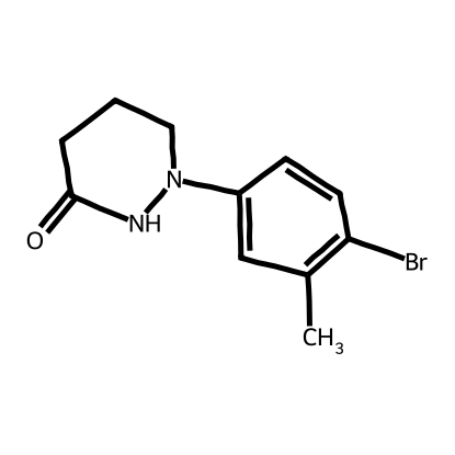 Cc1cc(N2CCCC(=O)N2)ccc1Br